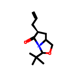 C=CC[C@H]1CC2COC(C(C)(C)C)N2C1=O